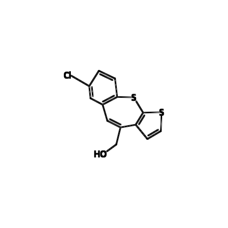 OCC1=Cc2cc(Cl)ccc2Sc2sccc21